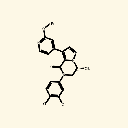 CCCOc1cc(-c2cnn3c2C(=O)N(c2ccc(Cl)c(Cl)c2)C[C@@H]3C)ccn1